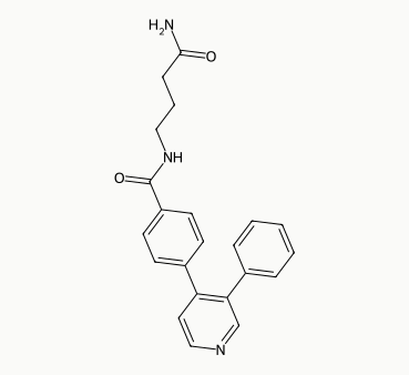 NC(=O)CCCNC(=O)c1ccc(-c2ccncc2-c2ccccc2)cc1